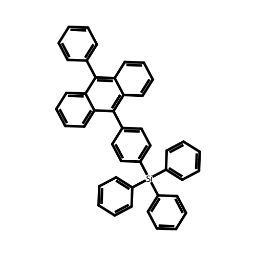 c1ccc(-c2c3ccccc3c(-c3ccc([Si](c4ccccc4)(c4ccccc4)c4ccccc4)cc3)c3ccccc23)cc1